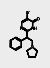 O=c1[nH]c(C(CN2CCCC2)c2ccccc2)ncc1Br